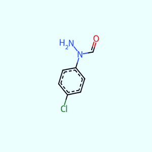 NN(C=O)c1ccc(Cl)cc1